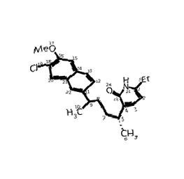 CCc1ccc([C@H](C)CCC(C)c2ccc3cc(OC)c(Cl)cc3c2)c(=O)[nH]1